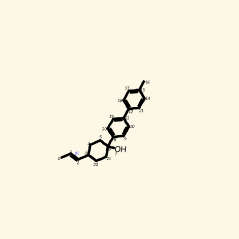 C/C=C/C1CCC(O)(c2ccc(-c3ccc(C)cc3)cc2)CC1